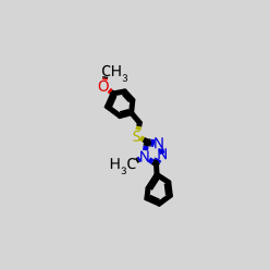 COc1ccc(CSc2nnc(-c3ccccc3)n2C)cc1